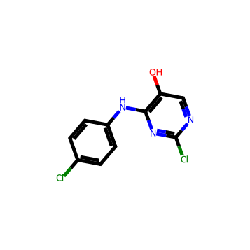 Oc1cnc(Cl)nc1Nc1ccc(Cl)cc1